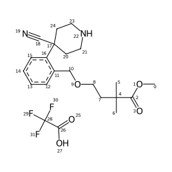 COC(=O)C(C)(C)CCOCc1ccccc1C1(C#N)CCNCC1.O=C(O)C(F)(F)F